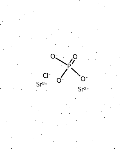 O=P([O-])([O-])[O-].[Cl-].[Sr+2].[Sr+2]